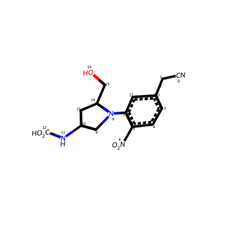 N#CCc1ccc([N+](=O)[O-])c(N2CC(NC(=O)O)CC2CO)c1